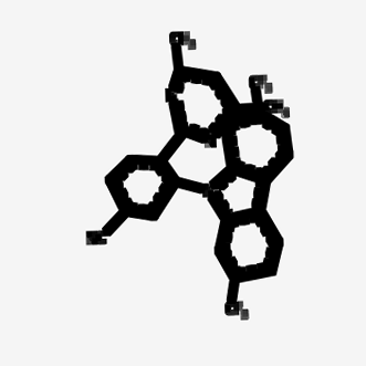 Cc1cc(C)nc(-c2ccc(C#N)cc2-n2c3cc(C(F)(F)F)ccc3c3ccc(C(F)(F)F)cc32)n1